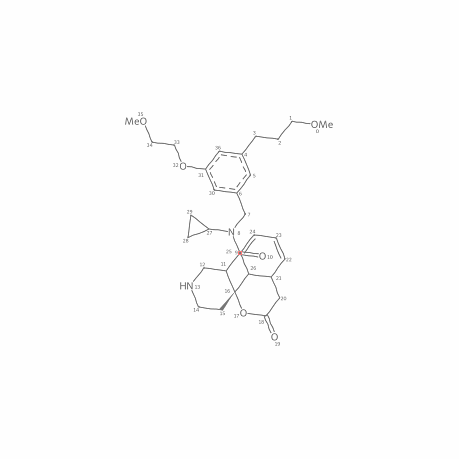 COCCCc1cc(CN(C(=O)C2CNCC[C@@]23OC(=O)CC2C=CC=CC23)C2CC2)cc(OCCOC)c1